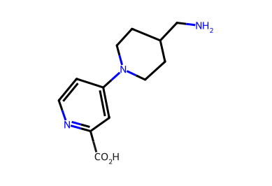 NCC1CCN(c2ccnc(C(=O)O)c2)CC1